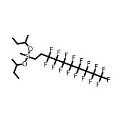 CCC(C)O[Si](C)(CCC(F)(F)C(F)(F)C(F)(F)C(F)(F)C(F)(F)C(F)(F)C(F)(F)C(F)(F)F)OC(C)CC